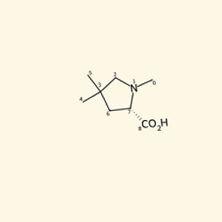 CN1CC(C)(C)C[C@H]1C(=O)O